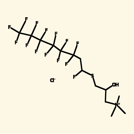 C[N+](C)(C)CC(O)CSC(F)CC(F)(F)C(F)(F)C(F)(F)C(F)(F)C(F)(F)C(F)(F)F.[Cl-]